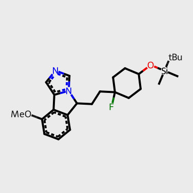 COc1cccc2c1-c1cncn1C2CCC1(F)CCC(O[Si](C)(C)C(C)(C)C)CC1